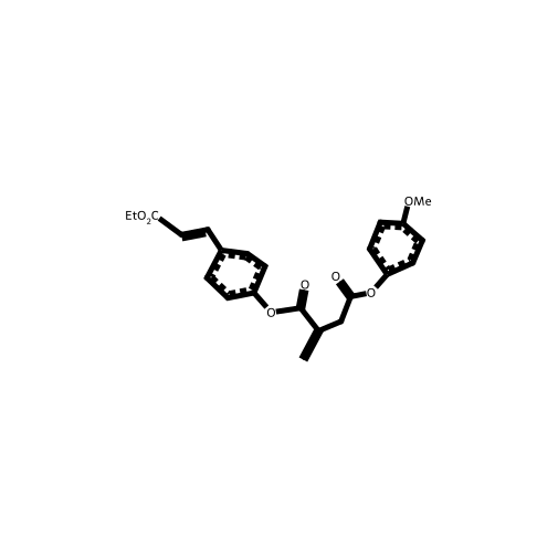 C=C(CC(=O)Oc1ccc(OC)cc1)C(=O)Oc1ccc(/C=C/C(=O)OCC)cc1